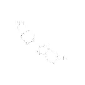 NCc1ccc(-c2nc3ccc(Br)cc3o2)cc1